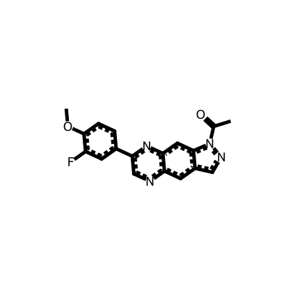 COc1ccc(-c2cnc3cc4cnn(C(C)=O)c4cc3n2)cc1F